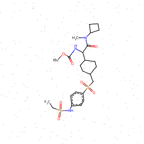 CN(C(=O)C(NC(=O)OC(C)(C)C)C1CCC(CS(=O)(=O)c2ccc(NS(=O)(=O)CC(F)(F)F)cc2)CC1)C1CCC1